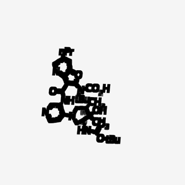 CCCc1cnc2c(C(=O)Nc3cnccc3N3C[C@H](C)C(C)(O)[C@H](NC(=O)OC(C)(C)C)C3)c(N(C(=O)O)C(C)(C)C)oc2c1